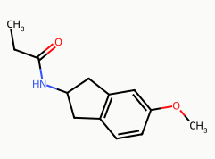 CCC(=O)NC1Cc2ccc(OC)cc2C1